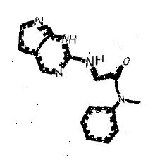 CN(C(=O)CNc1ncc2ccnc-2[nH]1)c1ccccc1